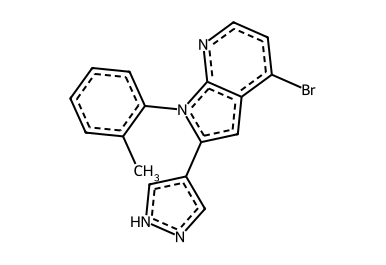 Cc1ccccc1-n1c(-c2cn[nH]c2)cc2c(Br)ccnc21